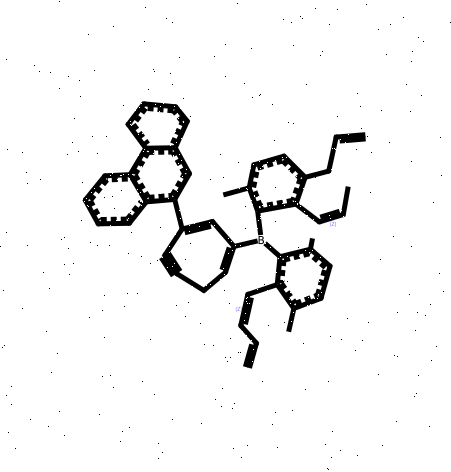 C=C/C=C\c1c(C)ccc(C)c1B(C1=CCC#CC(c2cc3ccccc3c3ccccc23)=C1)c1c(C)ccc(CC=C)c1/C=C\C